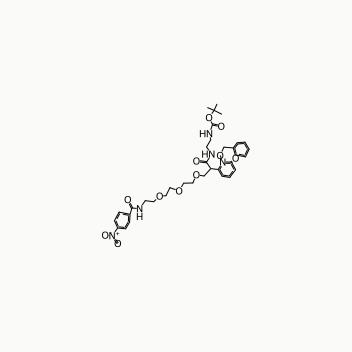 CC(C)(C)OC(=O)NCCNC(=O)C(COCCOCCOCCNC(=O)c1ccc([N+](=O)[O-])cc1)c1cccc(=O)n1OCc1ccccc1